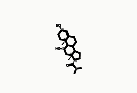 CN(C)C(=O)[C@H]1CCC2C3CCC4=C[C@@H](O)CC[C@]4(C)C3[C@@H](O)C[C@@]21C